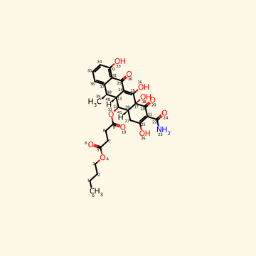 CCCCOC(=O)CCC(=O)O[C@H]1[C@H]2C(=C(O)[C@]3(O)C(=O)C(C(N)=O)=C(O)C[C@H]13)C(=O)c1c(O)cccc1[C@@H]2C